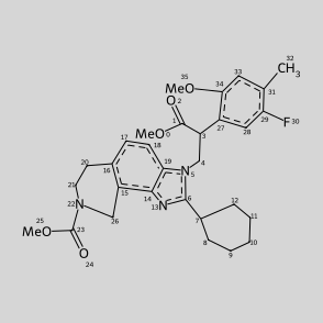 COC(=O)C(Cn1c(C2CCCCC2)nc2c3c(ccc21)CCN(C(=O)OC)C3)c1cc(F)c(C)cc1OC